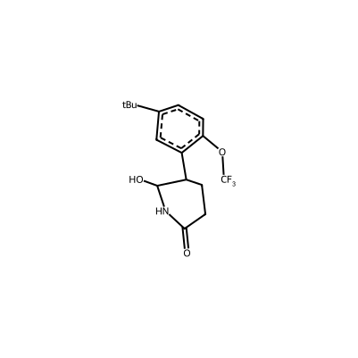 CC(C)(C)c1ccc(OC(F)(F)F)c(C2CCC(=O)NC2O)c1